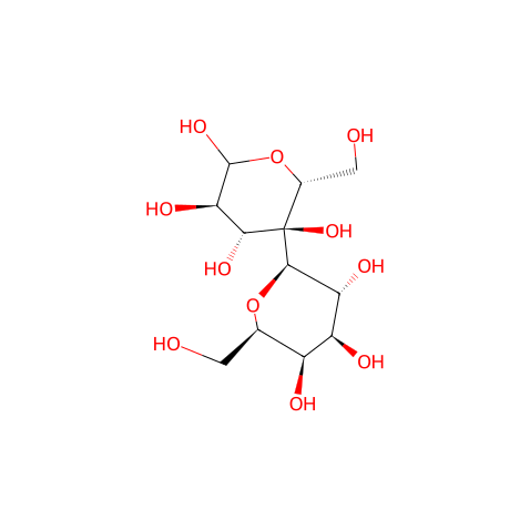 OC[C@H]1O[C@@H]([C@]2(O)[C@H](O)[C@@H](O)C(O)O[C@@H]2CO)[C@H](O)[C@@H](O)[C@H]1O